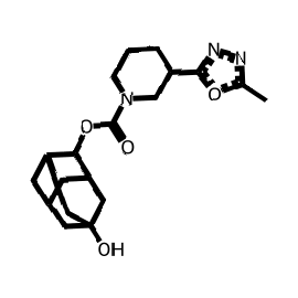 Cc1nnc(C2CCCN(C(=O)OC3C4CC5CC3CC(O)(C5)C4)C2)o1